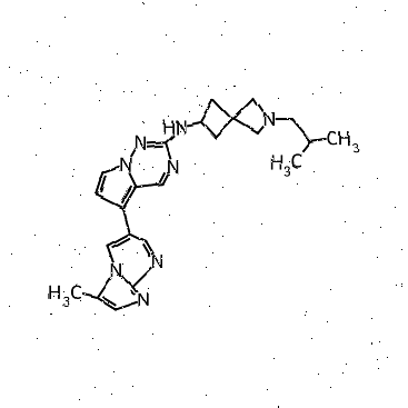 Cc1cnc2ncc(-c3ccn4nc(NC5CC6(C5)CN(CC(C)C)C6)ncc34)cn12